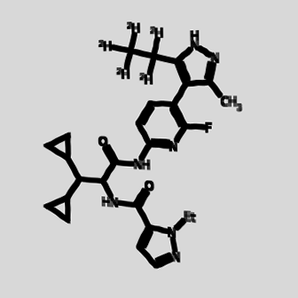 [2H]C([2H])([2H])C([2H])([2H])c1[nH]nc(C)c1-c1ccc(NC(=O)C(NC(=O)c2ccnn2CC)C(C2CC2)C2CC2)nc1F